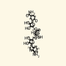 NC(=O)C1CCC(=O)N([C@@H]2O[C@H](COP(=O)(O)OP(=O)(O)OC[C@H]3O[C@@H](n4cnc5c(N)ncnc54)[C@H](O)[C@@H]3O)[C@@H](O)[C@H]2O)C1